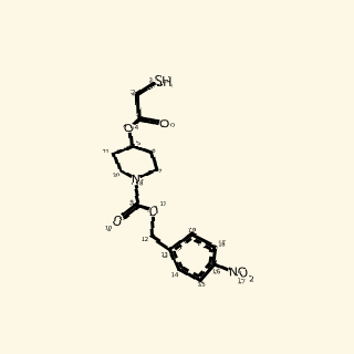 O=C(CS)OC1CCN(C(=O)OCc2ccc([N+](=O)[O-])cc2)CC1